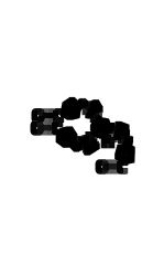 O=Cc1ccc(CN2C=CN(c3cc(N4C=CN(Cc5ccc(C=O)cc5)C4)c(Br)c(N4C=CN(Cc5ccc(C=O)cc5)C4)c3)C2)cc1